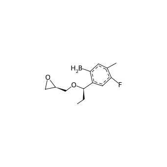 Bc1cc(C)c(F)cc1[C@@H](CC)OC[C@H]1CO1